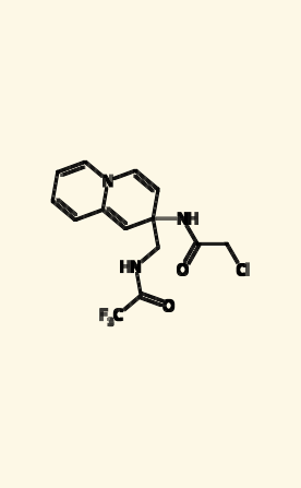 O=C(CCl)NC1(CNC(=O)C(F)(F)F)C=CN2C=CC=CC2=C1